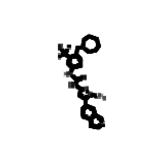 Cn1nc(NC(=O)Nc2ccc(CN3CCCCCC3)c(C(F)(F)F)c2)cc1-c1ccc2ccncc2c1